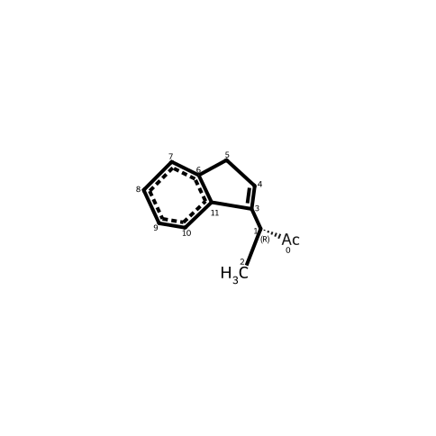 CC(=O)[C@H](C)C1=CCc2ccccc21